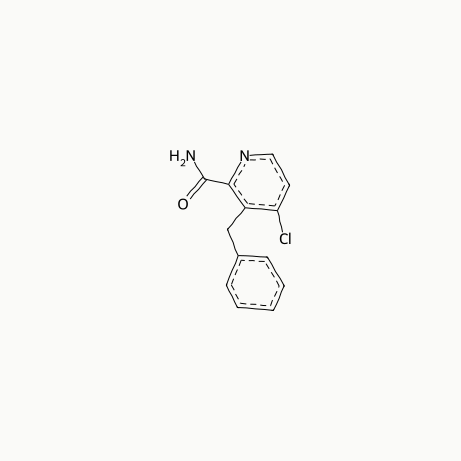 NC(=O)c1nccc(Cl)c1Cc1ccccc1